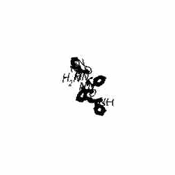 C[C@H](NC(=O)c1c(N)nn2cccnc12)c1nc2cccc(C#Cc3c[nH]c4ccccc34)c2c(=O)n1-c1ccccc1